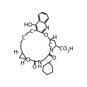 CC1([C@@H]2NC(=O)O[C@@H]3C[C@H]3CCCCCc3c(nc4ccccc4c3O)O[C@@H]3C[C@@H](C(=O)O)N(C3)C2=O)CCCCC1